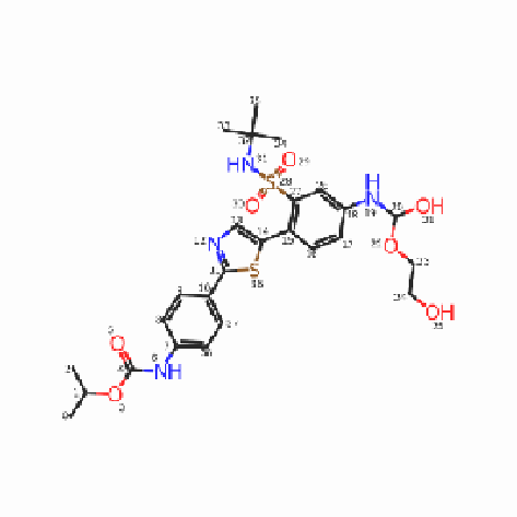 CC(C)OC(=O)Nc1ccc(-c2ncc(-c3ccc(NC(O)OCCO)cc3S(=O)(=O)NC(C)(C)C)s2)cc1